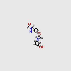 CC(=O)NC(C)c1ccc(OC2CN(c3cccc(O)c3)C2)cc1